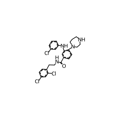 O=C(NCCc1ccc(Cl)cc1Cl)c1ccc(N2CCCNCC2)c(Nc2cccc(Cl)c2)c1